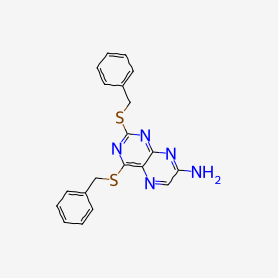 Nc1cnc2c(SCc3ccccc3)nc(SCc3ccccc3)nc2n1